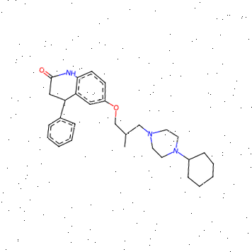 CC(COc1ccc2c(c1)C(c1ccccc1)CC(=O)N2)CN1CCN(C2CCCCC2)CC1